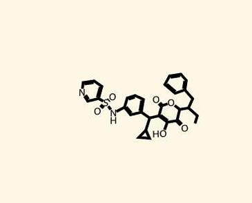 CCC(Cc1ccccc1)C1OC(=O)C(C(c2cccc(NS(=O)(=O)c3cccnc3)c2)C2CC2)=C(O)C1=O